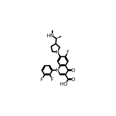 CN[C@@H](C)C1CCN(c2cc3c(cc2F)c(=O)c(C(=O)O)cn3-c2cccc(F)c2F)C1